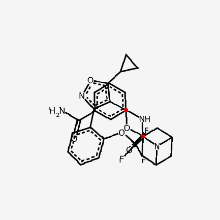 NC(=O)c1cccc(NC(=O)N2C3CC(OCc4c(-c5ccccc5OC(F)(F)F)noc4C4CC4)CC2C3)c1